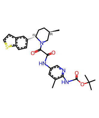 Cc1cc(NC(=O)C(=O)N2C[C@H](C)CC[C@H]2c2ccc3sccc3c2)cnc1NC(=O)OC(C)(C)C